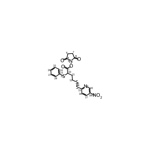 O=C(ON1C(=O)CCC1=O)C(CCSSc1ccc([N+](=O)[O-])cn1)Sc1ccccc1